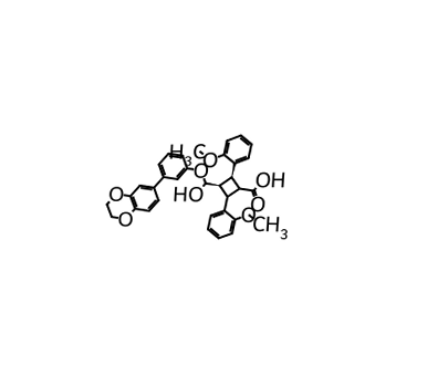 COc1ccccc1C1C(C(=O)O)[C@H](c2ccccc2OC)[C@@H]1C(O)Oc1cccc(-c2ccc3c(c2)OCCO3)c1